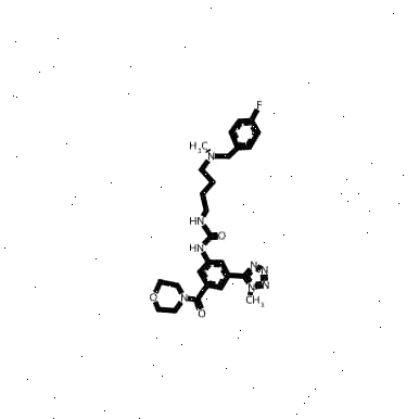 CN(CCCCNC(=O)Nc1cc(C(=O)N2CCOCC2)cc(-c2nnnn2C)c1)Cc1ccc(F)cc1